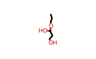 CCCO[C](O)CCO